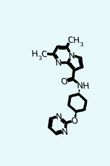 Cc1cc(C)n2ccc(C(=O)N[C@H]3CC[C@H](Oc4ncccn4)CC3)c2n1